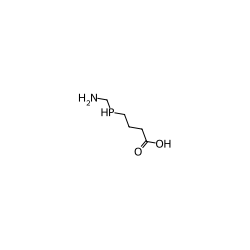 NCPCCCC(=O)O